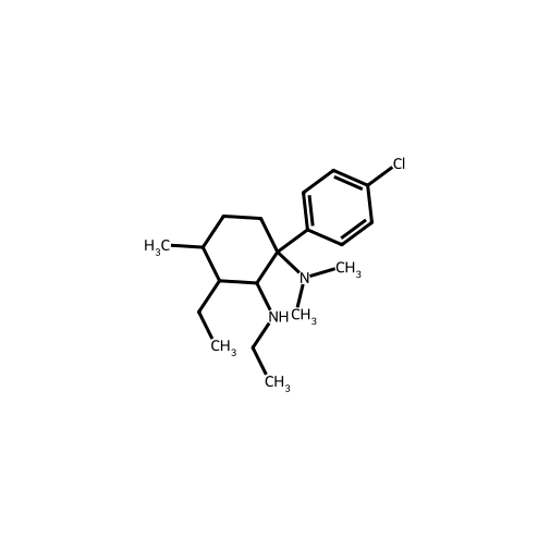 CCNC1C(CC)C(C)CCC1(c1ccc(Cl)cc1)N(C)C